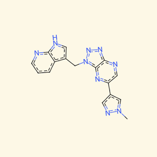 Cn1cc(-c2cnc3nnn(Cc4c[nH]c5ncccc45)c3n2)cn1